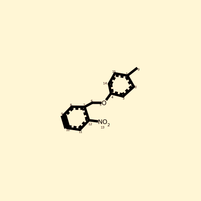 Cc1ccc(OCc2cc#ccc2[N+](=O)[O-])cc1